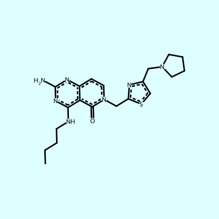 CCCCNc1nc(N)nc2ccn(Cc3nc(CN4CCCC4)cs3)c(=O)c12